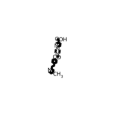 Cc1ccnc(CCc2ccc(OC(=O)N3CCN(c4ccc(C(=O)O)cn4)CC3)cc2)c1